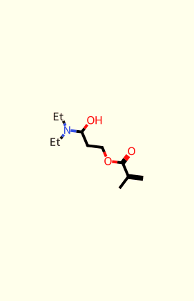 C=C(C)C(=O)OCCC(O)N(CC)CC